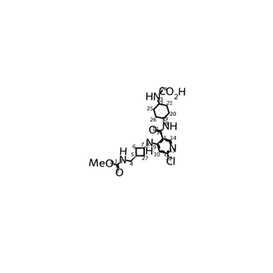 COC(=O)NC[C@H]1C[C@H](Nc2cc(Cl)ncc2C(=O)N[C@H]2CC[C@H](NC(=O)O)CC2)C1